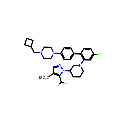 CCOC(=O)c1cnn(C2CCCN(c3cc(Cl)ccc3-c3ccc(N4CCN(CC5CCC5)CC4)cc3)C2)c1C(F)F